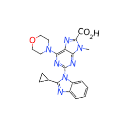 Cn1c(C(=O)O)nc2c(N3CCOCC3)nc(-n3c(C4CC4)nc4ccccc43)nc21